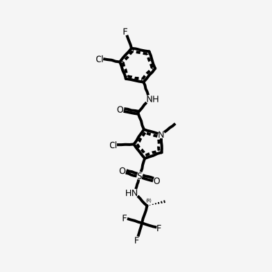 C[C@@H](NS(=O)(=O)c1cn(C)c(C(=O)Nc2ccc(F)c(Cl)c2)c1Cl)C(F)(F)F